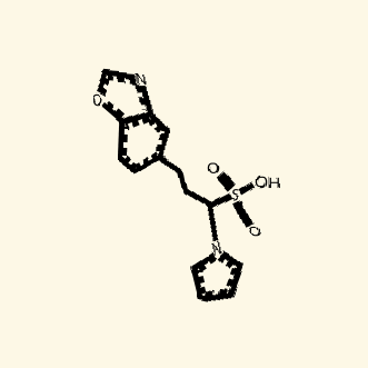 O=S(=O)(O)C(CCc1ccc2o[c]nc2c1)n1cccc1